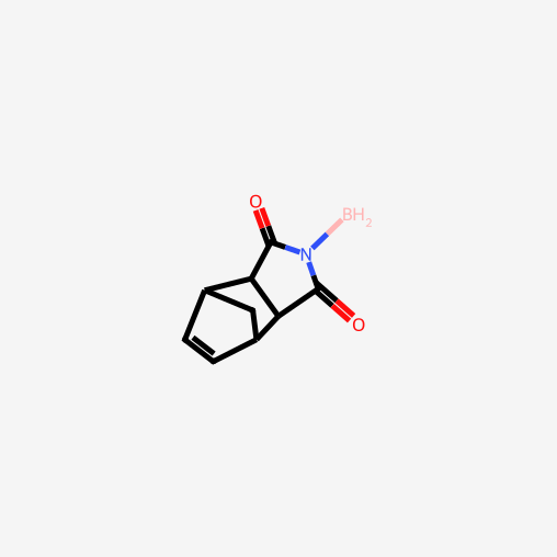 BN1C(=O)C2C3C=CC(C3)C2C1=O